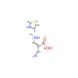 CNC=C(C#N)C(=O)O.c1cscn1